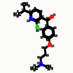 CC(C)c1ccc(C(=O)c2ccc(OCCCN(C)C)cc2)c(Cl)n1